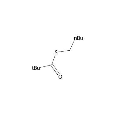 CCCCCSC(=O)C(C)(C)C